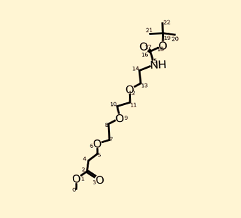 COC(=O)CCOCCOCCOCCNC(=O)OC(C)(C)C